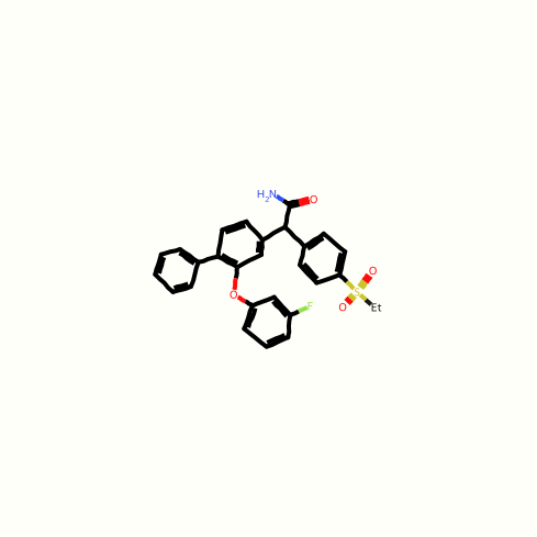 CCS(=O)(=O)c1ccc(C(C(N)=O)c2ccc(-c3ccccc3)c(Oc3cccc(F)c3)c2)cc1